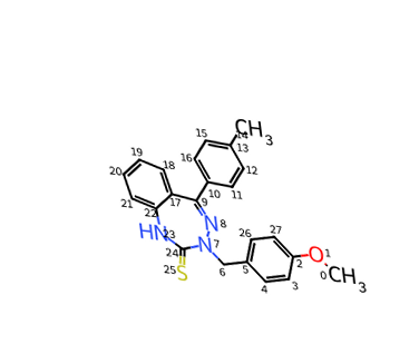 COc1ccc(CN2N=C(c3ccc(C)cc3)c3ccccc3NC2=S)cc1